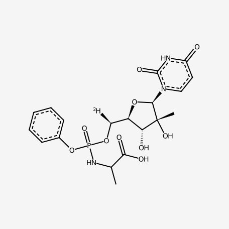 [2H][C@H](OP(=O)(NC(C)C(=O)O)Oc1ccccc1)[C@H]1O[C@@H](n2ccc(=O)[nH]c2=O)[C@](C)(O)[C@@H]1O